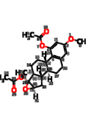 COc1cc2c(c(OC(C)=O)c1)[C@H]1CC[C@@]3(C)[C@@H](C[C@H]4O[C@]43OC(C)=O)[C@@H]1CC2